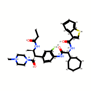 CCC(=O)N[C@H](C)[C@@H](C(=O)N1CCN(C)CC1)c1ccc(NC(=O)[C@@H](NC(=O)c2csc3ccccc23)C2CCCCCC2)c(F)c1